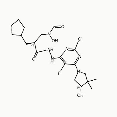 CC1(C)CN(c2nc(Cl)nc(NNC(=O)[C@@H](CC3CCCC3)CN(O)C=O)c2F)C[C@H]1O